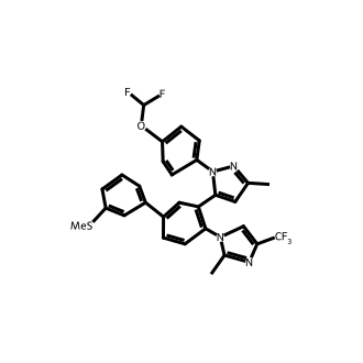 CSc1cccc(-c2ccc(-n3cc(C(F)(F)F)nc3C)c(-c3cc(C)nn3-c3ccc(OC(F)F)cc3)c2)c1